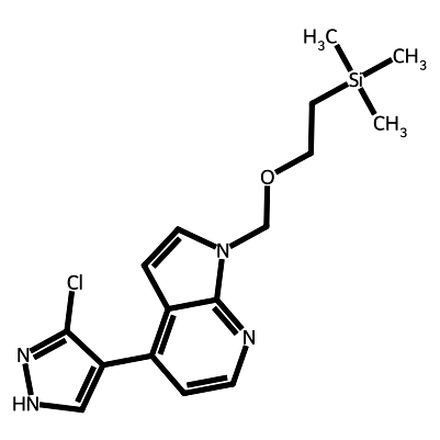 C[Si](C)(C)CCOCn1ccc2c(-c3c[nH]nc3Cl)ccnc21